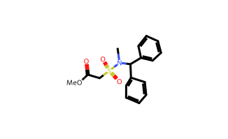 COC(=O)CS(=O)(=O)N(C)C(c1ccccc1)c1ccccc1